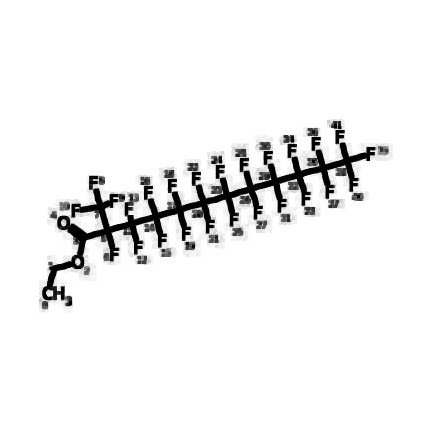 CCOC(=O)C(F)(C(F)(F)F)C(F)(F)C(F)(F)C(F)(F)C(F)(F)C(F)(F)C(F)(F)C(F)(F)C(F)(F)C(F)(F)C(F)(F)F